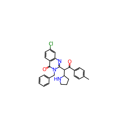 Cc1ccc(C(=O)C(c2nc3cc(Cl)ccc3c(=O)n2Cc2ccccc2)C2CCCN2)cc1